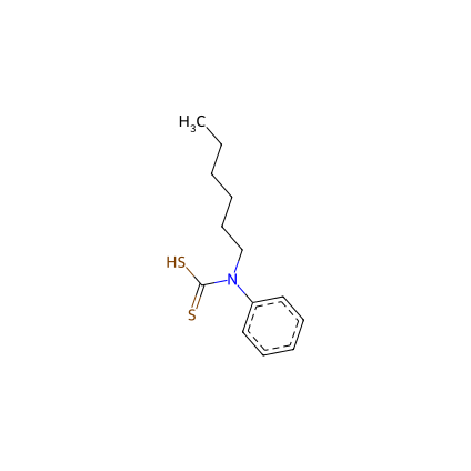 CCCCCCN(C(=S)S)c1ccccc1